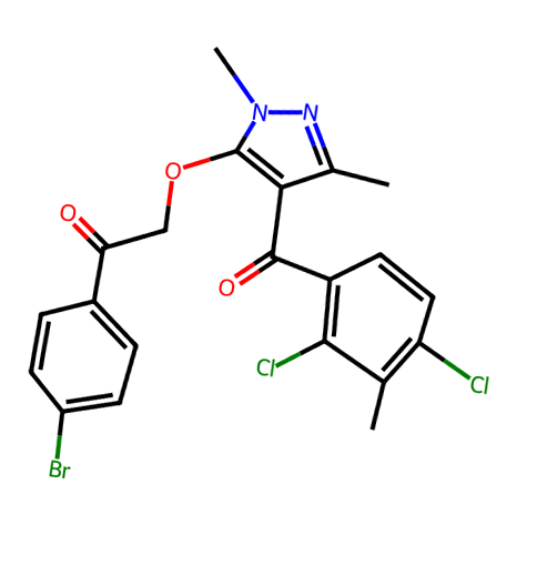 Cc1nn(C)c(OCC(=O)c2ccc(Br)cc2)c1C(=O)c1ccc(Cl)c(C)c1Cl